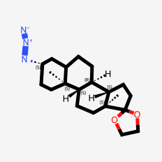 C[C@]12CC[C@H](N=[N+]=[N-])CC1CC[C@@H]1[C@@H]2CC[C@@]2(C)[C@H]1CCC21OCCO1